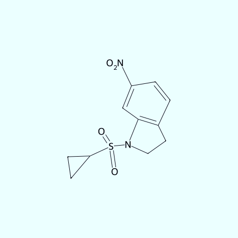 O=[N+]([O-])c1ccc2c(c1)N(S(=O)(=O)C1CC1)CC2